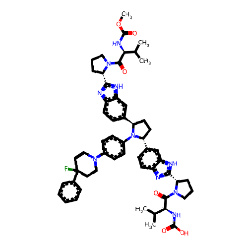 COC(=O)N[C@H](C(=O)N1CCC[C@H]1c1nc2ccc([C@H]3CC[C@H](c4ccc5nc([C@@H]6CCCN6C(=O)[C@@H](NC(=O)O)C(C)C)[nH]c5c4)N3c3ccc(N4CCC(F)(c5ccccc5)CC4)cc3)cc2[nH]1)C(C)C